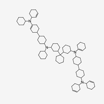 C1=CC(N(C2=CCC(C3CCC(N(C4CCCCC4)C4CCCC(C5(C6CCCC(N(C7=CCCCC7)C7CCC(C8CCC(N(C9C=CCCC9)C9CC=CCC9)CC8)CC7)C6)CCCCC5)C4)CC3)CC2)C2CCCCC2)CCC1